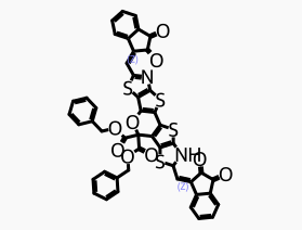 O=C1C(=O)c2ccccc2/C1=C/c1nc2sc3c(c2s1)OC(C(=O)OCc1ccccc1)(C(=O)OCc1ccccc1)c1c-3sc2c1SC(/C=C1\C(=O)C(=O)c3ccccc31)N2